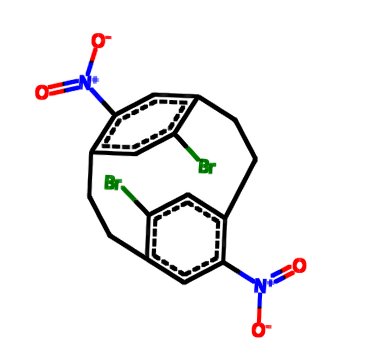 O=[N+]([O-])c1cc2c(Br)cc1CCc1cc([N+](=O)[O-])c(cc1Br)CC2